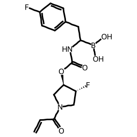 C=CC(=O)N1C[C@@H](F)[C@H](OC(=O)NC(Cc2ccc(F)cc2)B(O)O)C1